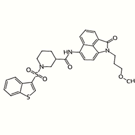 COCCCN1C(=O)c2cccc3c(NC(=O)C4CCCN(S(=O)(=O)c5csc6ccccc56)C4)ccc1c23